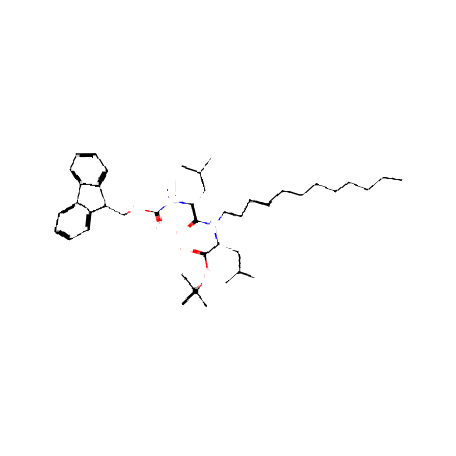 CCCCCCCCCCCCN(C(=O)[C@H](CC(C)C)NC(=O)OCC1c2ccccc2-c2ccccc21)[C@@H](CC(C)C)C(=O)OC(C)(C)C